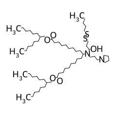 CCCCCCC(CCCCCC)COC(=O)CCCCCCCCC(CCCCCCCCC(=O)OCC(CCCCCC)CCCCCC)N(CCCN1CCCC1)C(O)CCSSCCCCC